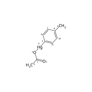 CC(=O)[O][Hg][c]1ccc(C)cc1